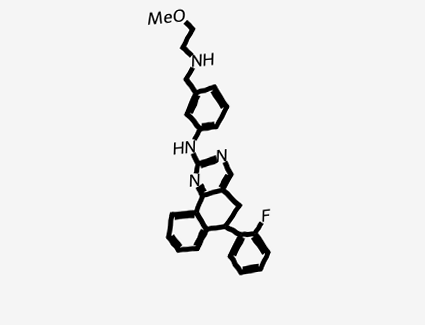 COCCNCc1cccc(Nc2ncc3c(n2)-c2ccccc2C(c2ccccc2F)C3)c1